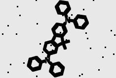 CC1(C)C2=C(CCC(N(c3ccccc3)c3ccccc3)=C2)c2ccc(N(c3ccccc3)c3ccccc3)cc21